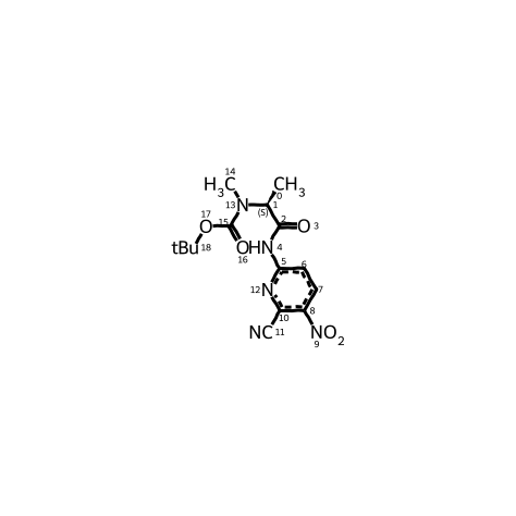 C[C@@H](C(=O)Nc1ccc([N+](=O)[O-])c(C#N)n1)N(C)C(=O)OC(C)(C)C